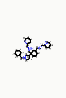 C1=CC(CNCc2ccccn2)(C2CCN(Cc3ccccc3)C2)CC(CNCc2ccccn2)=C1